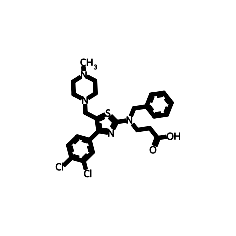 CN1CCN(Cc2sc(N(CCC(=O)O)Cc3ccccc3)nc2-c2ccc(Cl)c(Cl)c2)CC1